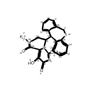 COc1nc(=O)c(O)c2n1C(C1c3ccccc3CSc3ccccc31)CN(C)C2=O